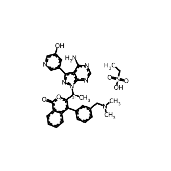 CCS(=O)(=O)O.C[C@@H](c1oc(=O)c2ccccc2c1-c1cccc(CN(C)C)c1)n1nc(-c2cncc(O)c2)c2c(N)ncnc21